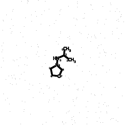 CC(C)NN1CCOC1